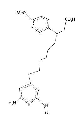 CCNc1nc(N)cc(CCCCCC[C@@H](CC(=O)O)c2ccc(OC)nc2)n1